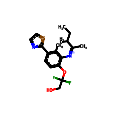 CCC(C)/C(C)=N\c1c(OC(F)(F)CO)ccc(-c2nccs2)c1C